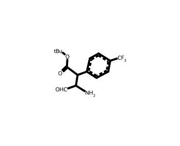 CC(C)(C)OC(=O)C(c1ccc(C(F)(F)F)cc1)C(N)C=O